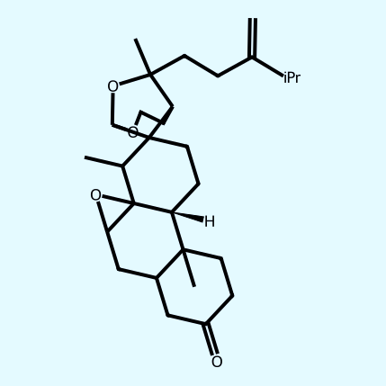 C=C(CCC1(C)OC2OCCC1C21CC[C@@H]2C3(C)CCC(=O)CC3CC3OC32C1C)C(C)C